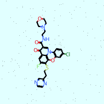 O=C(NCCN1CCOCC1)c1cn2c3c(c(SCCc4cnccn4)c(F)cc3c1=O)Oc1cc(Cl)ccc1-2